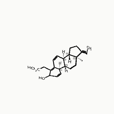 C[C@]12CC[C@H]3[C@@H](C=CC4=C(CC(=O)O)C(O)C=C[C@@H]43)[C@@H]1CCC2=CO